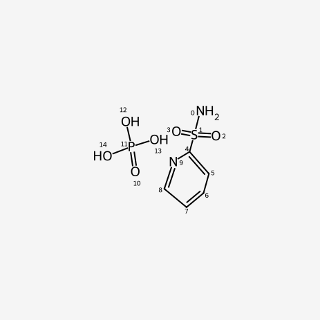 NS(=O)(=O)c1ccccn1.O=P(O)(O)O